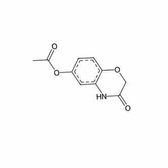 CC(=O)Oc1ccc2c(c1)NC(=O)CO2